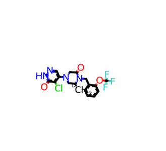 C[C@H]1CN(c2cn[nH]c(=O)c2Cl)CC(=O)N1Cc1ccccc1OC(F)(F)F